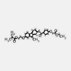 C=COC(=O)COc1ccc(C(=O)Sc2ccc3c(c2)[C@H](C)c2cc(OCCOC(=O)C(=C)C)ccc2-3)cc1